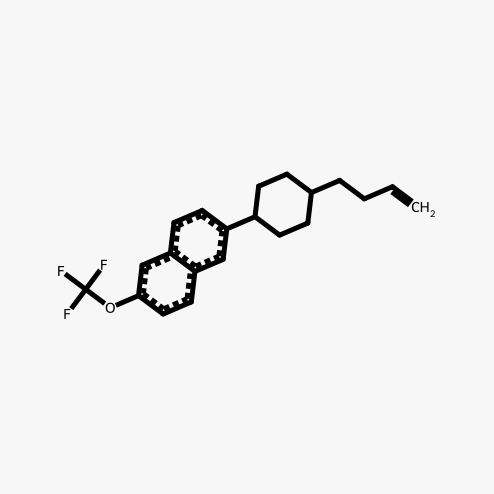 C=CCCC1CCC(c2ccc3cc(OC(F)(F)F)ccc3c2)CC1